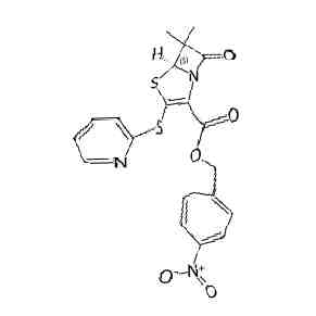 CC1(C)C(=O)N2C(C(=O)OCc3ccc([N+](=O)[O-])cc3)=C(Sc3ccccn3)S[C@H]21